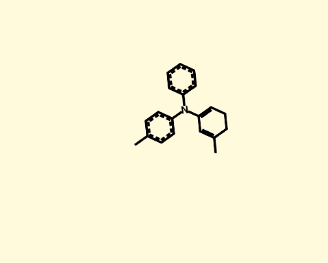 CC1=CC(N(c2ccccc2)c2ccc(C)cc2)=CCC1